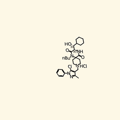 CCCCN1C(=O)[C@@H]([C@H](O)C2CCCCC2)NC(=O)C12CCN(Cc1c(C)nn(-c3ccccc3)c1Cl)CC2.Cl